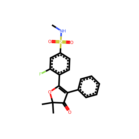 CNS(=O)(=O)c1ccc(C2=C(c3ccccc3)C(=O)C(C)(C)O2)c(F)c1